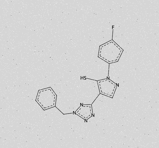 Fc1ccc(-n2ncc(-c3nnn(Cc4ccccc4)n3)c2S)cc1